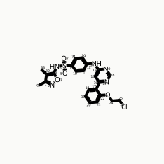 Cc1noc(NS(=O)(=O)c2ccc(Nc3cc(-c4ccccc4OCCCl)ncn3)cc2)c1C